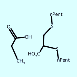 CCC(=O)O.CCCCCSCC(SCCCCC)C(=O)O